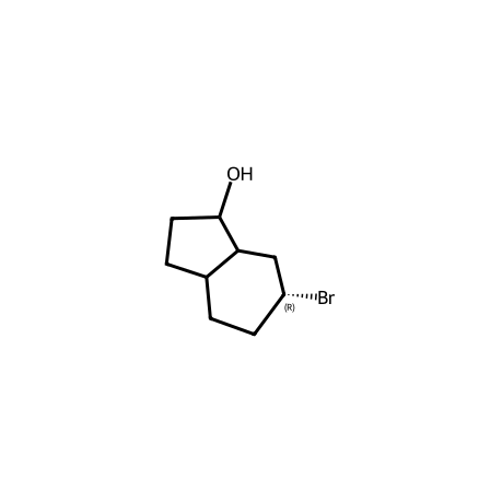 OC1CCC2CC[C@@H](Br)CC12